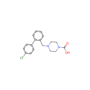 O=C(O)N1CCN(Cc2ccccc2-c2ccc(Cl)cc2)CC1